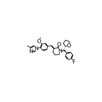 COc1cc(C=C2CCCN([C@@H](c3ccc(F)cc3)C3CCCO3)C2=O)ccc1-n1cnc(C)c1